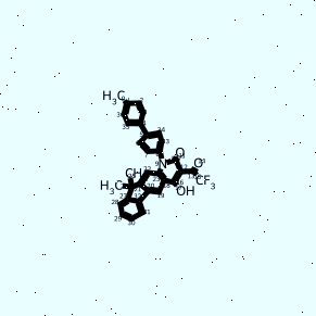 Cc1ccc(-c2ccc(-n3c(=O)c(C(=O)C(F)(F)F)c(O)c4cc5c(cc43)C(C)(C)c3ccccc3-5)cc2)cc1